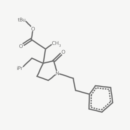 CC(C)CC1(C(C)C(=O)OC(C)(C)C)CCN(CCc2ccccc2)C1=O